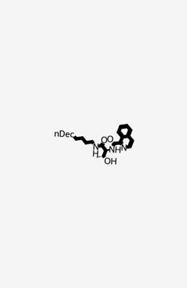 CCCCCCCCCCCCCCNC(=O)[C@@H](NC(=O)c1nccc2ccccc12)[C@@H](C)O